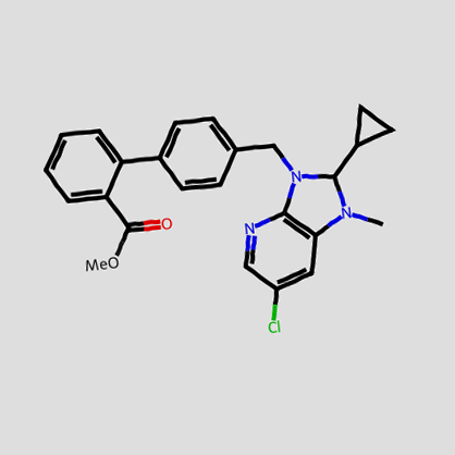 COC(=O)c1ccccc1-c1ccc(CN2c3ncc(Cl)cc3N(C)C2C2CC2)cc1